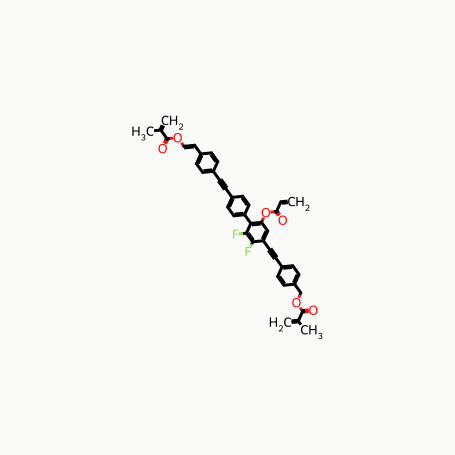 C=CC(=O)Oc1cc(C#Cc2ccc(COC(=O)C(=C)C)cc2)c(F)c(F)c1-c1ccc(C#Cc2ccc(/C=C/OC(=O)C(=C)C)cc2)cc1